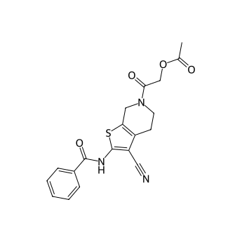 CC(=O)OCC(=O)N1CCc2c(sc(NC(=O)c3ccccc3)c2C#N)C1